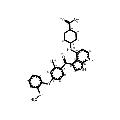 COc1ccccc1Oc1ccc(C(=O)c2c[nH]c3nccc(NC4CCC(C(=O)O)CC4)c23)c(Cl)c1